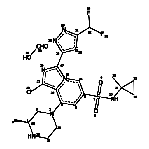 C[C@H]1CN(c2cc(S(=O)(=O)NC3(C)CC3)cn3c(-c4nnc(C(F)F)s4)nc(Cl)c23)CCN1.O=CO